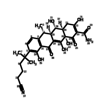 C[C@H]1c2ccc(C(C)(C)CCCC#N)c(O)c2C(=O)C2=C(O)[C@]3(O)C(=O)C(C(N)=O)=C(O)C[C@@H]3[C@@H](O)[C@@H]21